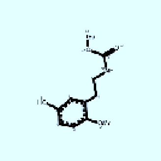 COc1ccc(O)cc1CCNC(=O)OC(C)(C)C